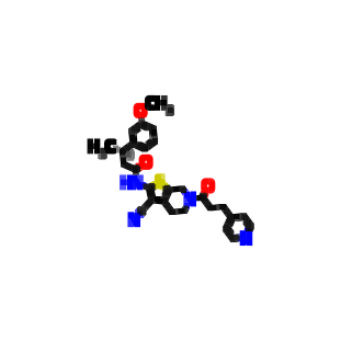 COc1cccc([C@@H](C)CC(=O)Nc2sc3c(c2C#N)CCN(C(=O)CCc2ccncc2)C3)c1